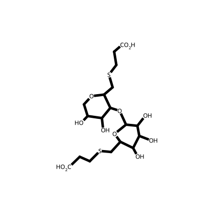 O=C(O)CCSCC1OC(OC2C(CSCCC(=O)O)OCC(O)C2O)C(O)C(O)C1O